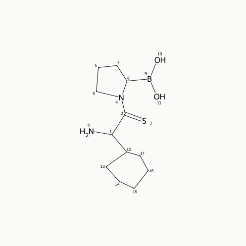 NC(C(=S)N1CCCC1B(O)O)C1CCCCC1